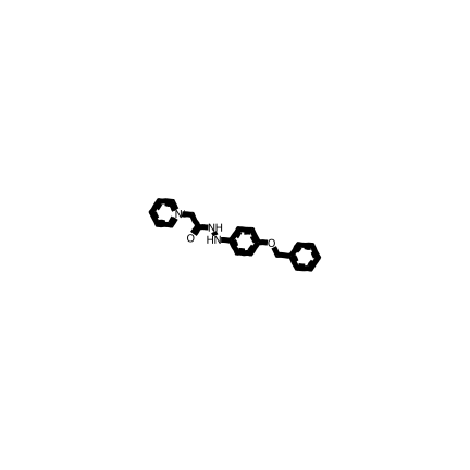 O=C(C[n+]1ccccc1)NNc1ccc(OCc2ccccc2)cc1